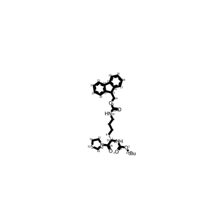 CC(C)(C)OC(=O)N[C@@H](CCCCNC(=O)OCC1c2ccccc2-c2ccccc21)C(=O)N1CCSC1